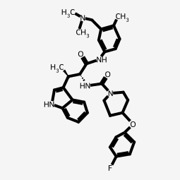 Cc1ccc(NC(=O)[C@H](NC(=O)N2CCC(Oc3ccc(F)cc3)CC2)[C@H](C)c2c[nH]c3ccccc23)cc1CN(C)C